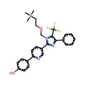 C[Si](C)(C)CCOCn1c(-c2ccc(-c3ccc(O)cc3)nc2)nc(-c2ccccc2)c1C(F)(F)F